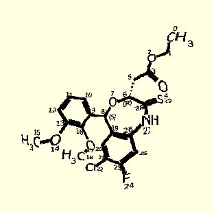 CCOC(=O)C[C@H]1O[C@H](c2cccc(OC)c2OC)c2cc(Cl)c(F)cc2NC1=S